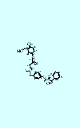 CC(Cc1ccc(OCP(=O)(O)Cc2ccccc2)cc1)NCC(O)COc1ccc(O)c(CO)c1